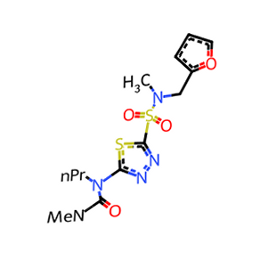 CCCN(C(=O)NC)c1nnc(S(=O)(=O)N(C)Cc2ccco2)s1